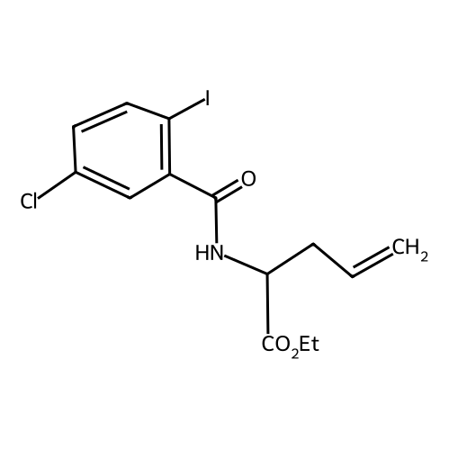 C=CCC(NC(=O)c1cc(Cl)ccc1I)C(=O)OCC